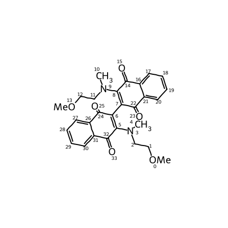 COCCN(C)C1=C(C2=C(N(C)CCOC)C(=O)c3ccccc3C2=O)C(=O)c2ccccc2C1=O